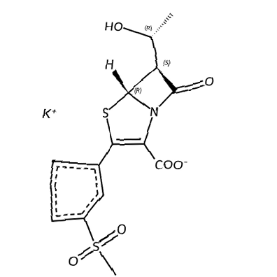 C[C@@H](O)[C@H]1C(=O)N2C(C(=O)[O-])=C(c3cccc(S(C)(=O)=O)c3)S[C@H]12.[K+]